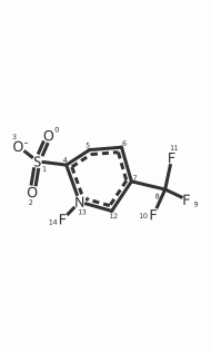 O=S(=O)([O-])c1ccc(C(F)(F)F)c[n+]1F